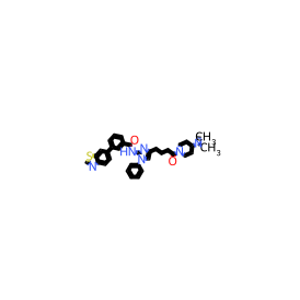 CN(C)C1CCN(C(=O)CCCc2cn(-c3ccccc3)c(NC(=O)c3cccc(-c4ccc5ncsc5c4)c3)n2)CC1